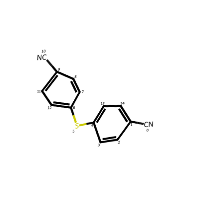 N#Cc1ccc(Sc2ccc(C#N)cc2)cc1